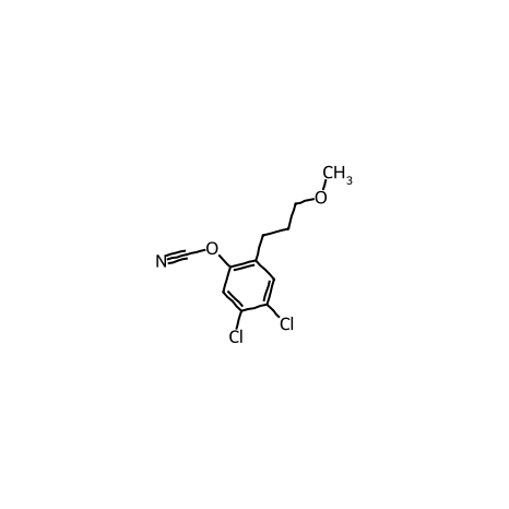 COCCCc1cc(Cl)c(Cl)cc1OC#N